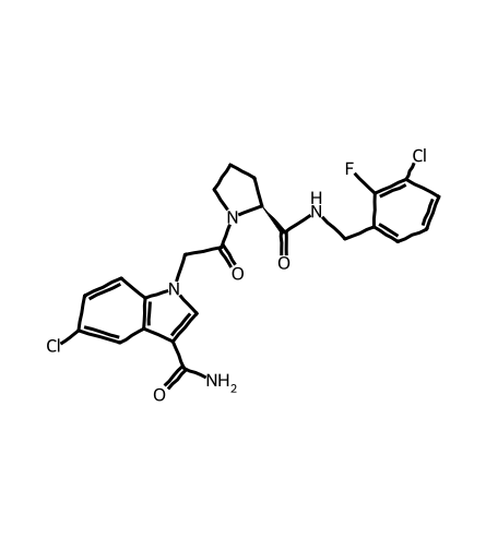 NC(=O)c1cn(CC(=O)N2CCC[C@H]2C(=O)NCc2cccc(Cl)c2F)c2ccc(Cl)cc12